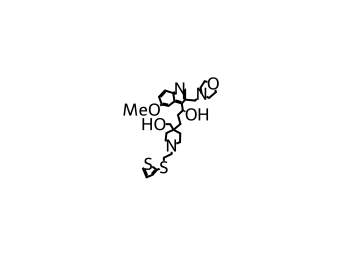 COc1ccc2ncc(CN3CCOCC3)c([C@@H](O)CCC3(CO)CCN(CCSc4cccs4)CC3)c2c1